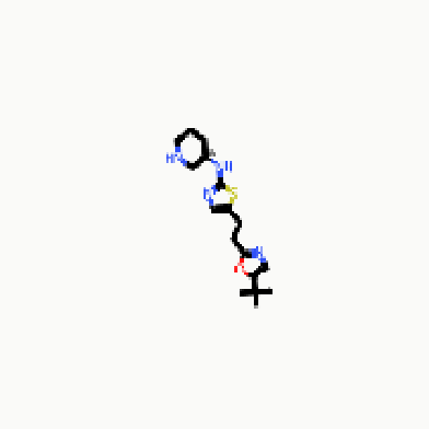 CC(C)(C)c1cnc(CCc2cnc(N[C@@H]3CCCNC3)s2)o1